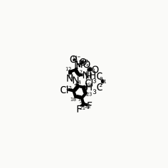 CCC.O=C(O)Nc1c([N+](=O)[O-])cnn1-c1c(Cl)cc(C(F)F)cc1Cl